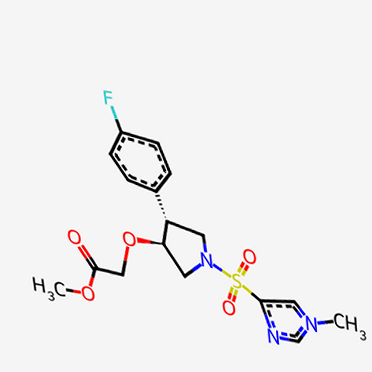 COC(=O)CO[C@@H]1CN(S(=O)(=O)c2cn(C)cn2)C[C@H]1c1ccc(F)cc1